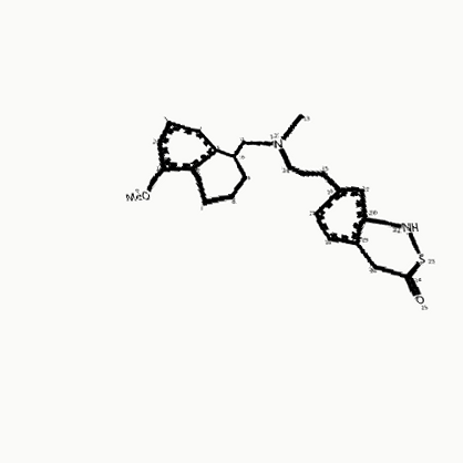 COc1cccc2c1CCCC2CN(C)CCc1ccc2c(c1)NSC(=O)C2